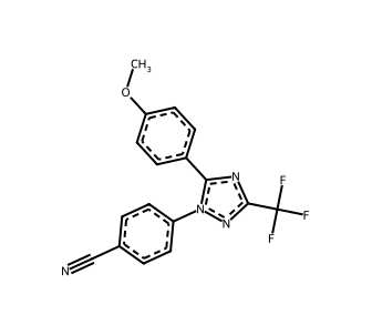 COc1ccc(-c2nc(C(F)(F)F)nn2-c2ccc(C#N)cc2)cc1